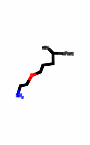 CCCCCC(CCC)CCCOCCN